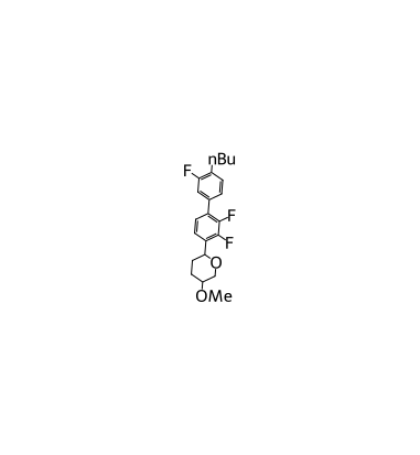 CCCCc1ccc(-c2ccc(C3CCC(OC)CO3)c(F)c2F)cc1F